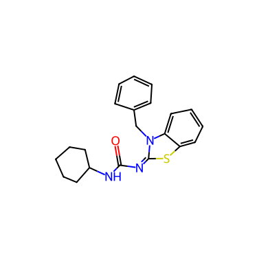 O=C(N=c1sc2ccccc2n1Cc1ccccc1)NC1CCCCC1